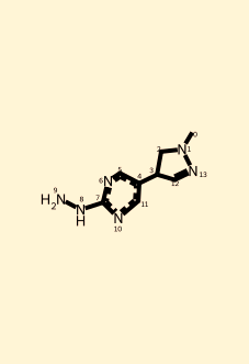 CN1CC(c2cnc(NN)nc2)C=N1